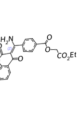 CCOC(=O)COC(=O)c1ccc(/C(N)=C2/C(=O)Oc3ccccc3C2=O)cc1